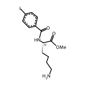 COC(=O)[C@H](CCCCN)NC(=O)c1ccc(I)cc1